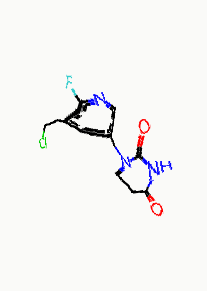 O=C1CCN(c2cnc(F)c(CCl)c2)C(=O)N1